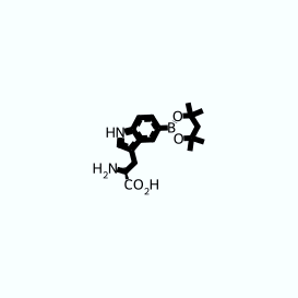 CC1(C)CC(C)(C)OB(c2ccc3[nH]cc(C[C@H](N)C(=O)O)c3c2)O1